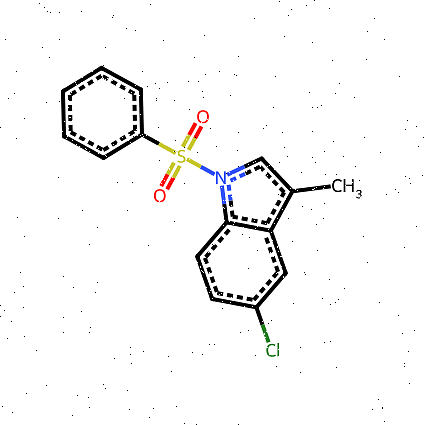 Cc1cn(S(=O)(=O)c2ccccc2)c2ccc(Cl)cc12